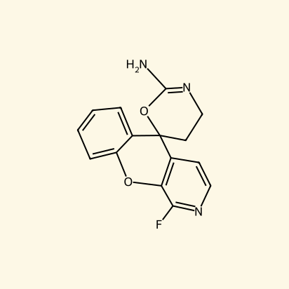 NC1=NCCC2(O1)c1ccccc1Oc1c2ccnc1F